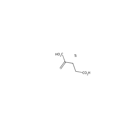 C=C(CCC(=O)O)C(=O)O.[Ti]